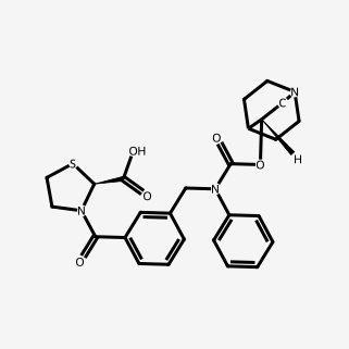 O=C(O)[C@@H]1SCCN1C(=O)c1cccc(CN(C(=O)O[C@H]2CN3CCC2CC3)c2ccccc2)c1